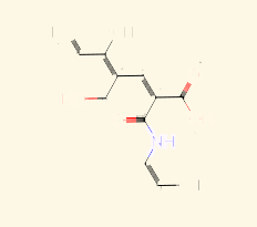 C=C/C(C)=C(/C=C(/C(=O)O)C(=O)N/C=C\C)CO